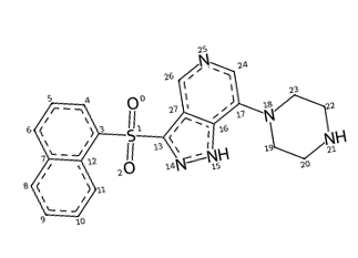 O=S(=O)(c1cccc2ccccc12)c1n[nH]c2c(N3CCNCC3)cncc12